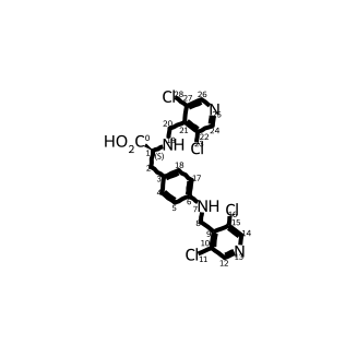 O=C(O)[C@H](Cc1ccc(NCc2c(Cl)cncc2Cl)cc1)NCc1c(Cl)cncc1Cl